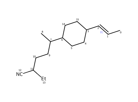 C/C=C/C1CCC(C(C)CCC(C#N)CC)CC1